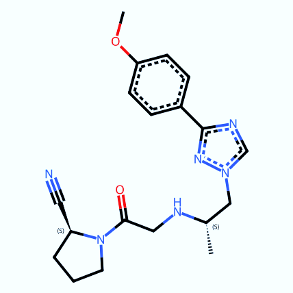 COc1ccc(-c2ncn(C[C@H](C)NCC(=O)N3CCC[C@H]3C#N)n2)cc1